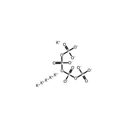 O=P([O-])([O-])OP(=O)([O-])OP(=O)([O-])OP(=O)([O-])[O-].[K+].[K+].[K+].[K+].[K+].[K+]